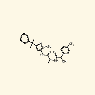 CC(NC(=O)C(O)c1ccc(C(F)(F)F)cc1)C(=O)Nc1cc(C(C)(C)c2ccccc2)nn1C(C)(C)C